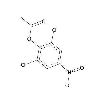 CC(=O)Oc1c(Cl)cc([N+](=O)[O-])cc1Cl